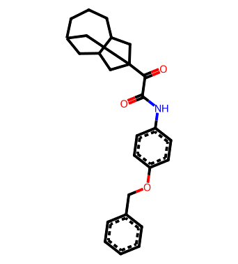 O=C(Nc1ccc(OCc2ccccc2)cc1)C(=O)C12CC3CCCC(C1)C(C3)C2